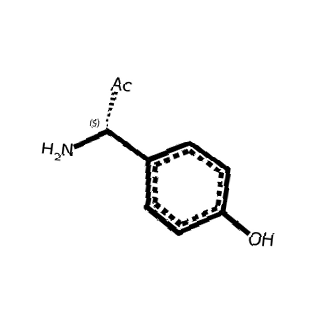 CC(=O)[C@@H](N)c1ccc(O)cc1